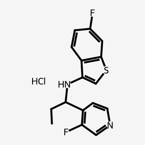 CCC(Nc1csc2cc(F)ccc12)c1ccncc1F.Cl